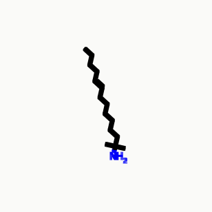 CCCCC=CCCCCCCC(C)(C)N